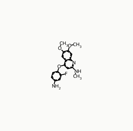 CNc1cc(Oc2ccc(N)cc2F)c2cc(OC)c(OC)cc2n1